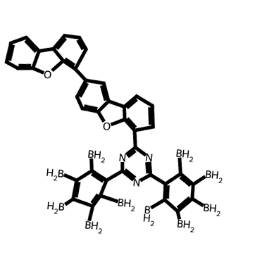 Bc1c(B)c(B)c(-c2nc(-c3c(B)c(B)c(B)c(B)c3B)nc(-c3cccc4c3oc3ccc(-c5cccc6c5oc5ccccc56)cc34)n2)c(B)c1B